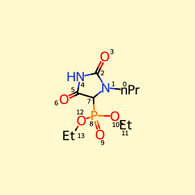 CCCN1C(=O)NC(=O)C1P(=O)(OCC)OCC